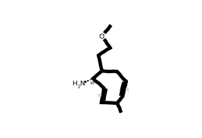 COCCC1C/C=C\C(C)/C=C/[C@@H]1N